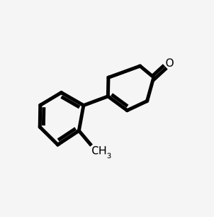 Cc1ccccc1C1=CCC(=O)CC1